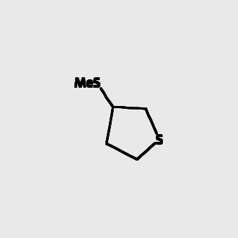 CSC1CCSC1